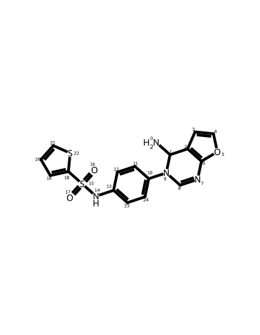 NC1c2ccoc2N=CN1c1ccc(NS(=O)(=O)c2cccs2)cc1